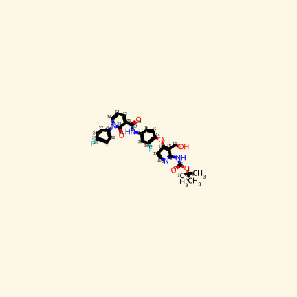 CC(C)(C)OC(=O)Nc1nccc(Oc2ccc(NC(=O)c3cccn(-c4ccc(F)cc4)c3=O)cc2F)c1CO